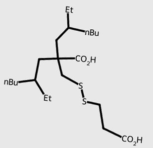 CCCCC(CC)CC(CSSCCC(=O)O)(CC(CC)CCCC)C(=O)O